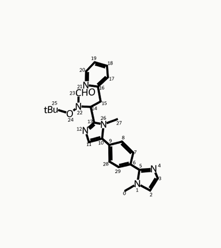 Cn1ccnc1-c1ccc(-c2cnc(C(Cc3ccccn3)N(C=O)OC(C)(C)C)n2C)cc1